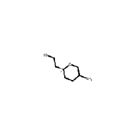 NC1CC[C@@H](CCO)OC1